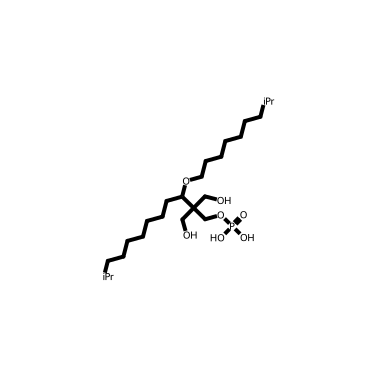 CC(C)CCCCCCCOC(CCCCCCCC(C)C)C(CO)(CO)COP(=O)(O)O